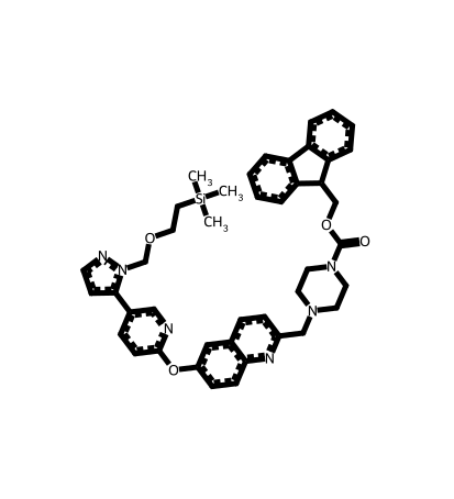 C[Si](C)(C)CCOCn1nccc1-c1ccc(Oc2ccc3nc(CN4CCN(C(=O)OCC5c6ccccc6-c6ccccc65)CC4)ccc3c2)nc1